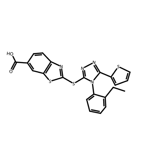 CCc1ccccc1-n1c(Sc2nc3ccc(C(=O)O)cc3s2)nnc1-c1cccs1